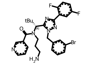 CC(C)(C)[C@H](c1nc(-c2cc(F)ccc2F)nn1Cc1cccc(Br)c1)N(CCCN)C(=O)c1cccnc1